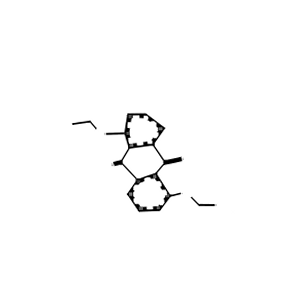 O=C(O)COc1cccc2c1C(=O)c1cccc(OCC(=O)O)c1C2=O